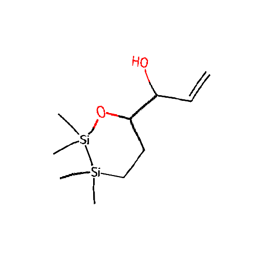 C=CC(O)C1CC[Si](C)(C)[Si](C)(C)O1